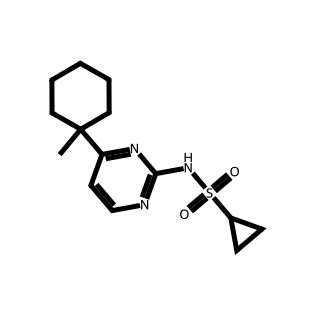 CC1(c2ccnc(NS(=O)(=O)C3CC3)n2)CCCCC1